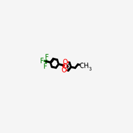 CCCC12COC(C3CC=C(C(F)(F)F)CC3)(OC1)OC2